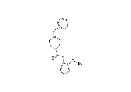 CCOc1ccccc1CC(=O)C1CCN(Cc2ccccc2)CC1